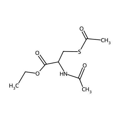 CCOC(=O)C(CSC(C)=O)NC(C)=O